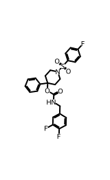 O=C(NCc1ccc(F)c(F)c1)OC1(c2ccccc2)CCN(S(=O)(=O)c2ccc(F)cc2)CC1